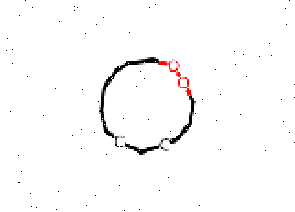 C1CCCCCCOOCCCCC1